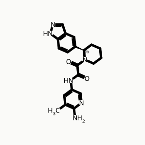 Cc1cc(NC(=O)C(=O)N2CCCC[C@@H]2c2ccc3[nH]ncc3c2)cnc1N